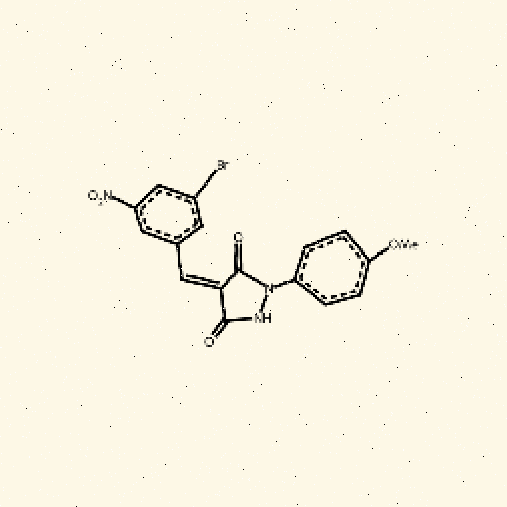 COc1ccc(N2NC(=O)C(=Cc3cc(Br)cc([N+](=O)[O-])c3)C2=O)cc1